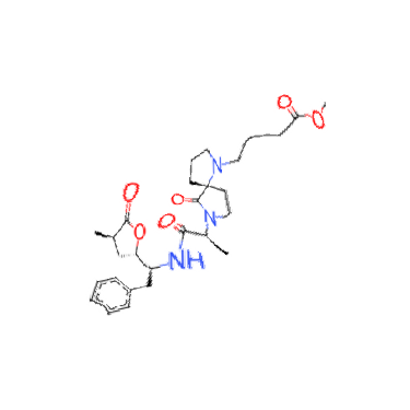 COC(=O)CCCN1CCC[C@]12CCN([C@@H](C)C(=O)N[C@@H](Cc1ccccc1)[C@@H]1C[C@@H](C)C(=O)O1)C2=O